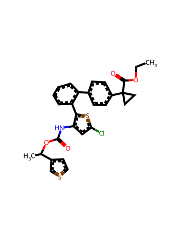 CCOC(=O)C1(c2ccc(-c3ccccc3-c3sc(Cl)cc3NC(=O)OC(C)c3ccsc3)cc2)CC1